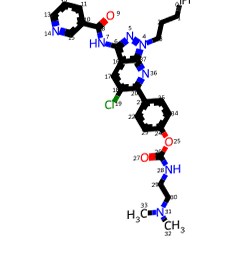 CC(C)CCCn1nc(NC(=O)c2cccnc2)c2cc(Cl)c(-c3ccc(OC(=O)NCCN(C)C)cc3)nc21